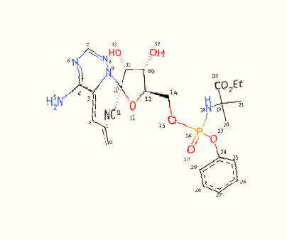 C=C/C=C1/C(N)=NC=NN1[C@]1(C#N)O[C@H](COP(=O)(NC(C)(C)C(=O)OCC)Oc2ccccc2)[C@@H](O)[C@H]1O